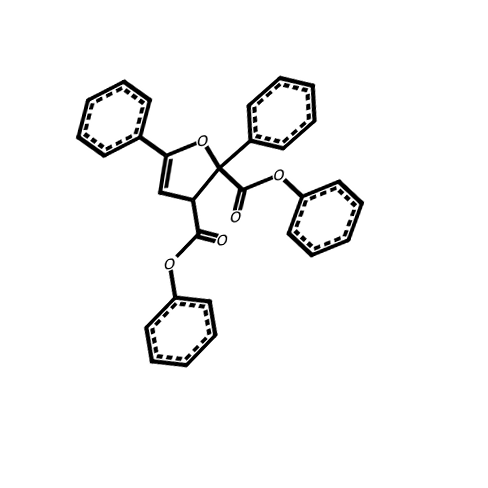 O=C(Oc1ccccc1)C1C=C(c2ccccc2)OC1(C(=O)Oc1ccccc1)c1ccccc1